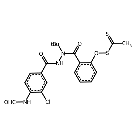 CC(=S)SOc1ccccc1C(=O)N(NC(=O)c1ccc(NC=O)c(Cl)c1)C(C)(C)C